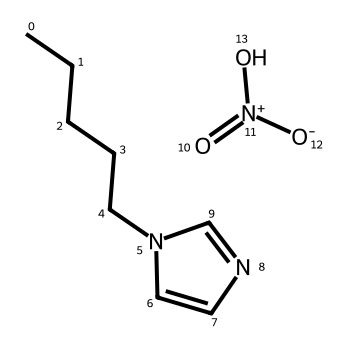 CCCCCn1ccnc1.O=[N+]([O-])O